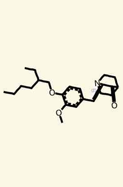 CCCCC(CC)COc1ccc(/C=C2/C(=O)C3CCN2CC3)cc1OC